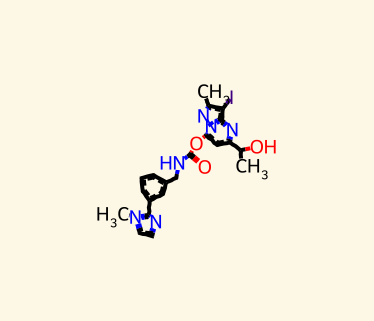 Cc1nn2c(OC(=O)NCc3cccc(-c4nccn4C)c3)cc(C(C)O)nc2c1I